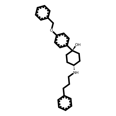 O[C@]1(c2ccc(OCc3ccccc3)cc2)CC[C@@H](NCCCc2ccccc2)CC1